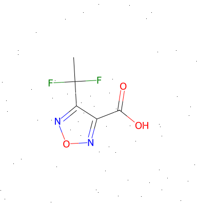 CC(F)(F)c1nonc1C(=O)O